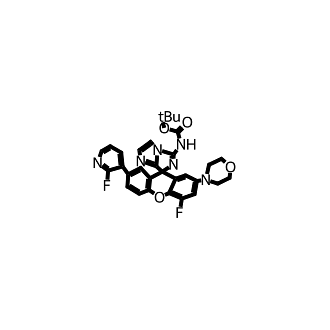 CC(C)(C)OC(=O)NC1=NC2(c3cc(-c4cccnc4F)ccc3Oc3c(F)cc(N4CCOCC4)cc32)c2nccn21